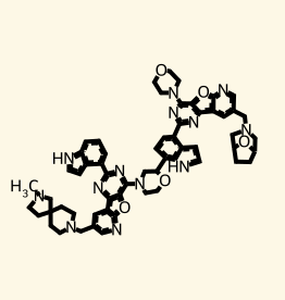 CN1CCC2(CCN(Cc3cnc4oc5c(N6CCOC(c7ccc(-c8nc(N9CCOCC9)c9oc%10ncc(CN%11CC%12CCC(C%11)O%12)cc%10c9n8)c8cc[nH]c78)C6)nc(-c6cccc7[nH]ccc67)nc5c4c3)CC2)C1